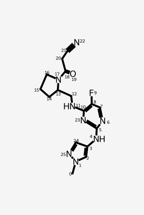 Cn1cc(Nc2ncc(F)c(NCC3CCCN3C(=O)CC#N)n2)cn1